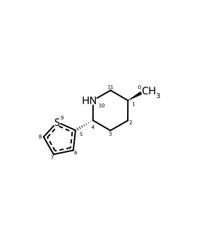 C[C@H]1CC[C@H](c2cccs2)NC1